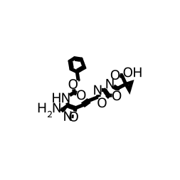 Nc1noc(C#Cc2nc3nc(C4(C(=O)O)CC4)oc3o2)c1NC(=O)OCc1ccccc1